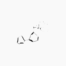 CN(C(=O)c1cccc(-c2ccccc2)c1)C(C)(C)C